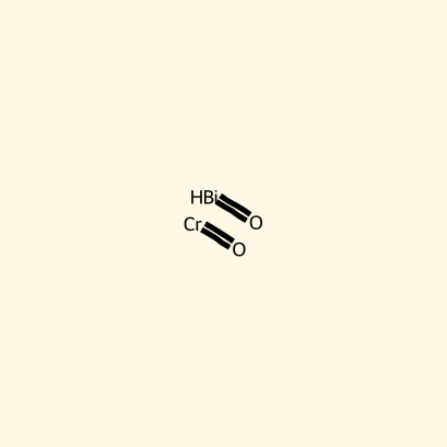 [O]=[BiH].[O]=[Cr]